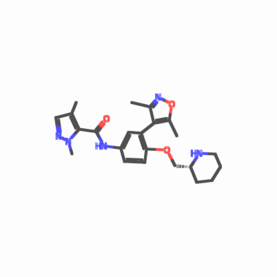 Cc1cnn(C)c1C(=O)Nc1ccc(OC[C@H]2CCCCN2)c(-c2c(C)noc2C)c1